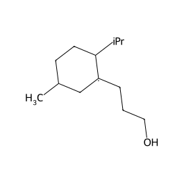 CC1CCC(C(C)C)[C](CCCO)C1